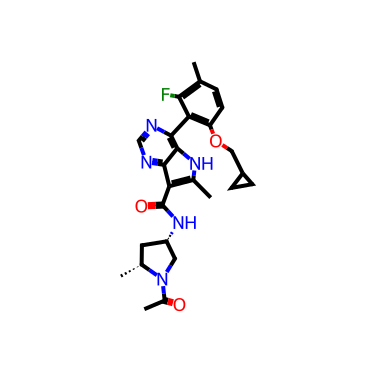 CC(=O)N1C[C@@H](NC(=O)c2c(C)[nH]c3c(-c4c(OCC5CC5)ccc(C)c4F)ncnc23)C[C@H]1C